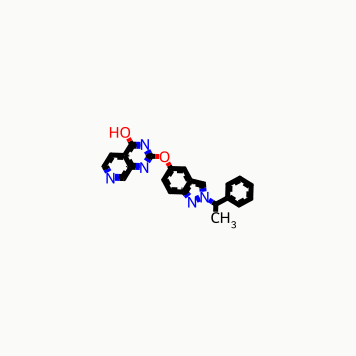 CC(c1ccccc1)n1cc2cc(Oc3nc(O)c4ccncc4n3)ccc2n1